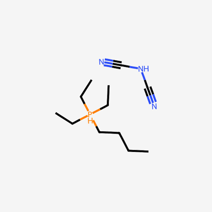 CCCC[PH](CC)(CC)CC.N#CNC#N